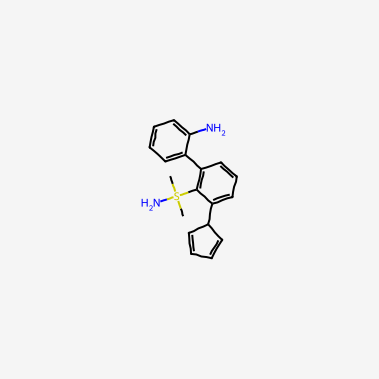 CS(C)(N)c1c(-c2ccccc2N)cccc1C1C=CC=C1